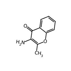 Cc1oc2ccccc2c(=O)c1N